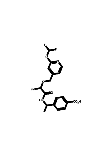 CC(NC(=O)C(OCc1ccnc(OC(F)F)c1)C(C)C)c1ccc(C(=O)O)cc1